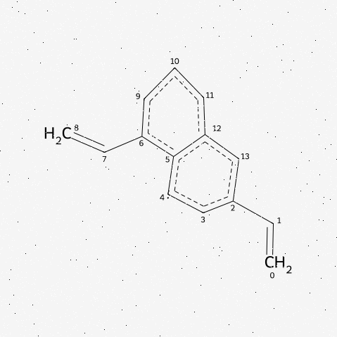 C=Cc1c[c]c2c(C=C)cccc2c1